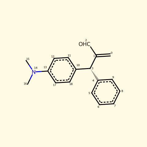 C=C(C=O)[C@H](c1ccccc1)c1ccc(N(C)C)cc1